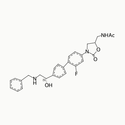 CC(=O)NCC1CN(c2ccc(-c3ccc([C@H](O)CNCc4ccccc4)cc3)c(F)c2)C(=O)O1